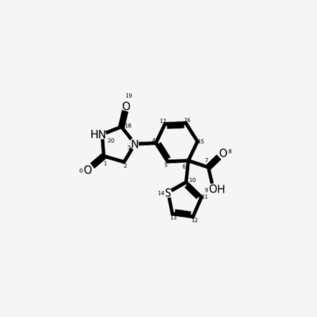 O=C1CN(C2=CC(C(=O)O)(c3cccs3)CC=C2)C(=O)N1